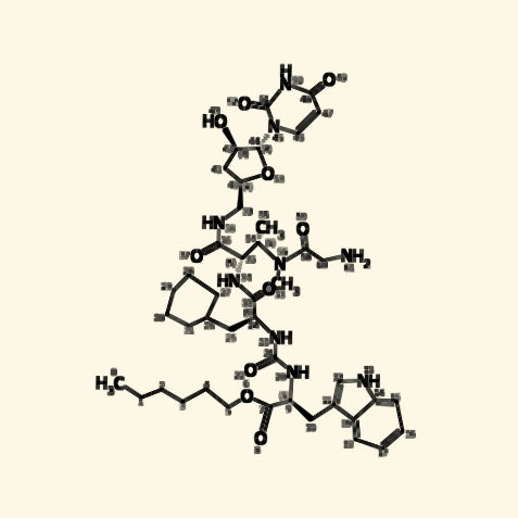 CCCCCCOC(=O)[C@H](Cc1c[nH]c2ccccc12)NC(=O)N[C@@H](CC1CCCCC1)C(=O)N[C@H](C(=O)NC[C@H]1C[C@@H](O)[C@H](n2ccc(=O)[nH]c2=O)O1)[C@H](C)N(C)C(=O)CN